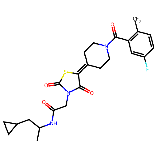 CC(CC1CC1)NC(=O)CN1C(=O)SC(=C2CCN(C(=O)c3cc(F)ccc3C(F)(F)F)CC2)C1=O